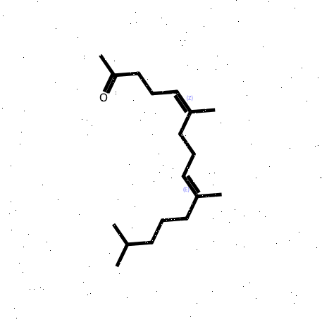 CC(=O)CC/C=C(/C)CC/C=C(\C)CCCC(C)C